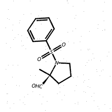 C[C@@]1(C=O)[CH]CCN1S(=O)(=O)c1ccccc1